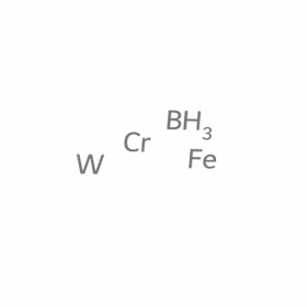 B.[Cr].[Fe].[W]